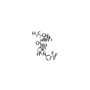 CN[C@@H](CC(C)C)C(=O)N[C@H]1CC[C@@H]2CN(c3cccc(C(F)(F)F)c3)C[C@@H]21